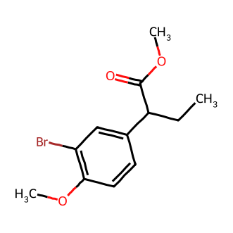 CCC(C(=O)OC)c1ccc(OC)c(Br)c1